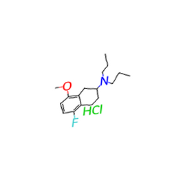 CCCN(CCC)C1CCc2c(F)ccc(OC)c2C1.Cl